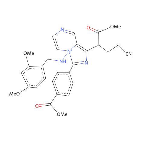 COC(=O)c1ccc(C2=NC(C(CCC#N)C(=O)OC)=C3C=NC=C[N+]23NCc2ccc(OC)cc2OC)cc1